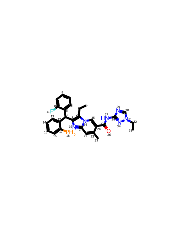 CCc1c(C(c2ccccc2F)c2ccccc2P)nc2cc(C)c(C(=O)Nc3ncn(CC)n3)cn12